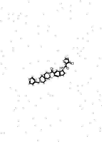 O=C(NC1CCc2ccc(C(=O)N3CCC4(CCN(Cc5ccncc5)CC4)CC3)cc21)c1sccc1Cl